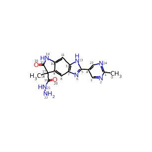 Cc1ncc(-c2nc3cc4c(cc3[nH]2)NC(=O)C4(C)C(=O)NN)cn1